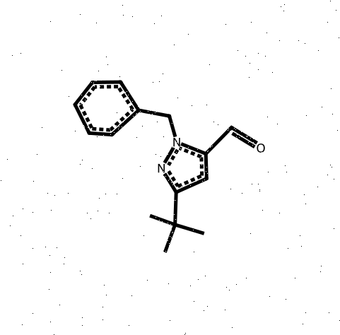 CC(C)(C)c1cc(C=O)n(Cc2ccccc2)n1